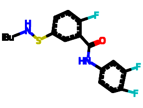 CCC(C)NSc1ccc(F)c(C(=O)Nc2ccc(F)c(F)c2)c1